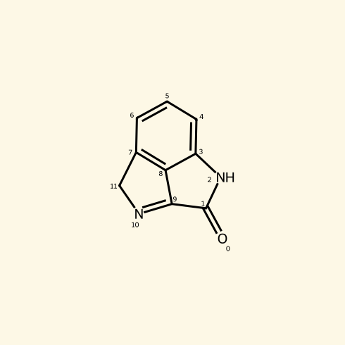 O=C1Nc2cccc3c2C1=NC3